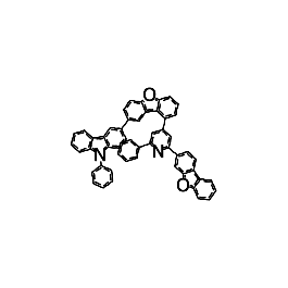 c1ccc(-c2cc(-c3cccc4oc5ccc(-c6ccc7c(c6)c6ccccc6n7-c6ccccc6)cc5c34)cc(-c3ccc4c(c3)oc3ccccc34)n2)cc1